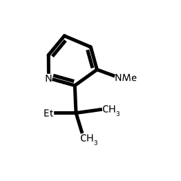 CCC(C)(C)c1ncccc1NC